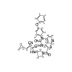 Cc1cc(Oc2ccccc2)ccc1N1C(=O)Nc2c(C(=O)N3CCC(NC(=O)C(C#N)=CC4CC4)C3)sc3nccc1c23